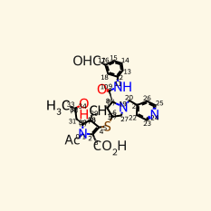 CC(=O)N1C(C(=O)O)=C(S[C@H]2C[C@@H](C(=O)Nc3cccc(C=O)c3)N(Cc3ccncc3)C2)[C@H](C)[C@@H]1C[C@@H](C)O